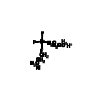 F[B-](F)(F)F.O.O.O.O.O.O.[H+].[Ni]